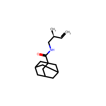 C=C[C@H](C)CNC(=O)C12CC3CC(CC(C3)C1)C2